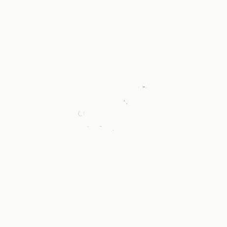 CCCC[N+]1(C)CCC(C)(C)C(C)(CC)C1